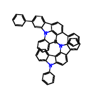 c1ccc(-c2ccc3c4ccc(-c5ccccc5)c5c4n(c3c2)-c2ccccc2B5n2c3ccccc3c3ccc4c(c5ccccc5n4-c4ccccc4)c32)cc1